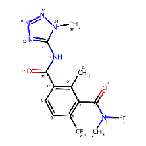 CCN(C)C(=O)c1c(C(F)(F)F)ccc(C(=O)Nc2nnnn2C)c1C